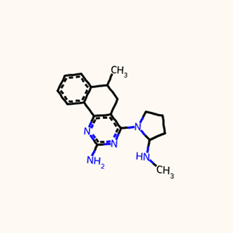 CNC1CCCN1c1nc(N)nc2c1CC(C)c1ccccc1-2